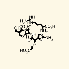 C=CC1=C(C(=O)O)N2C(=O)[C@@H](NC(=O)/C(=N\OCC(=O)O)c3csc(N)n3)[C@H]2SC1.N=C(N)NCCCC(N)C(=O)O